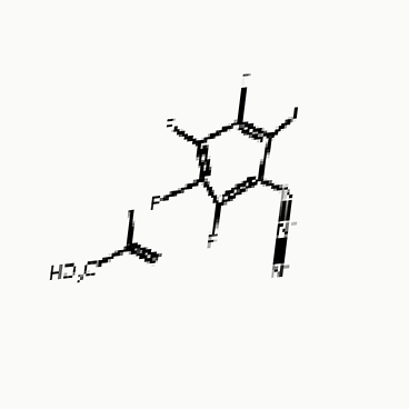 C=C(C)C(=O)O.[N-]=[N+]=Nc1c(F)c(F)c(F)c(F)c1F